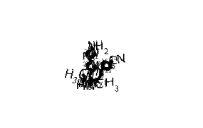 CC(=N)N1C(=N)[C@H](C)CN(c2ccc(C#N)cc2)c2nc(-c3cnc(N)cn3)ccc21